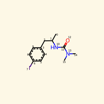 CC(Cc1ccc(I)cc1)NC(=O)N(C)C